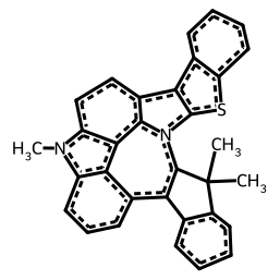 Cn1c2cccc3c4c(n5c6sc7ccccc7c6c6ccc1c(c32)c65)C(C)(C)c1ccccc1-4